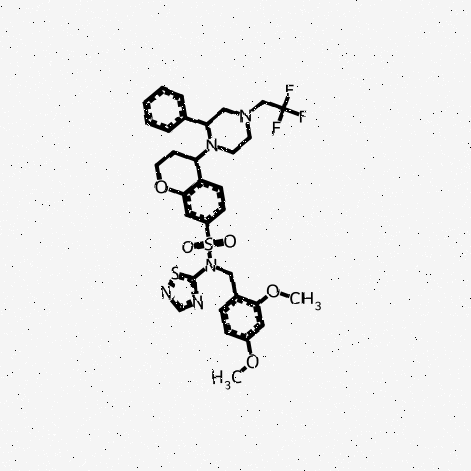 COc1ccc(CN(c2ncns2)S(=O)(=O)c2ccc3c(c2)OCCC3N2CCN(CC(F)(F)F)CC2c2ccccc2)c(OC)c1